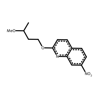 COC(C)CCOc1ccc2ccc([N+](=O)[O-])cc2n1